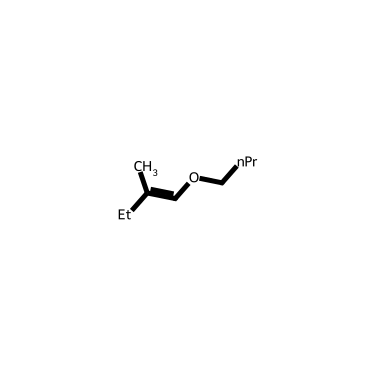 CCCCOC=C(C)CC